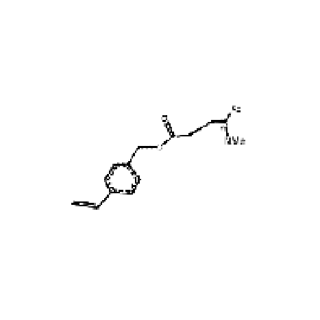 C=Cc1ccc(COC(=O)CC[C@H](NC)C(C)=O)cc1